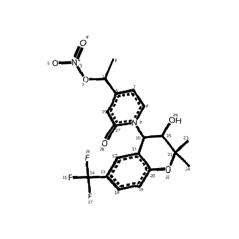 CC(O[N+](=O)[O-])c1ccn(C2c3cc(C(F)(F)F)ccc3OC(C)(C)C2O)c(=O)c1